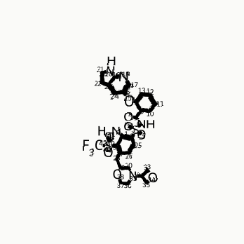 Nc1c(S(=O)(=O)NC(=O)c2ccccc2Oc2cnc3[nH]ccc3c2)ccc(CC2CN(C3COC3)CCO2)c1S(=O)(=O)C(F)(F)F